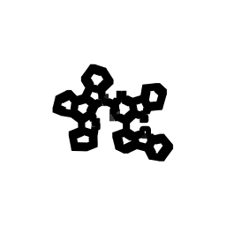 c1ccc2c(c1)oc1c(-c3nc(-n4c5ccccc5c5c6ccccc6c6c7ccccc7sc6c54)nc4c3sc3ccccc34)cccc12